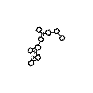 c1ccc(-c2cccc(-c3ccc(N(c4ccccc4)c4ccc(-c5ccc6c(c5)c5ccccc5n6-c5cccc6c5oc5ccccc56)cc4)cc3)c2)cc1